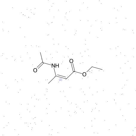 CCOC(=O)/C=C(/C)NC(C)=O